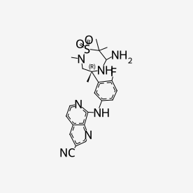 CN1C[C@@](C)(c2cc(Nc3nccc4cc(C#N)cnc34)ccc2F)NC(N)C(C)(C)S1(=O)=O